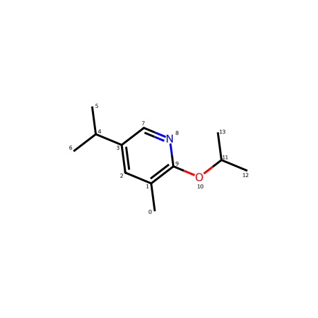 Cc1cc(C(C)C)cnc1OC(C)C